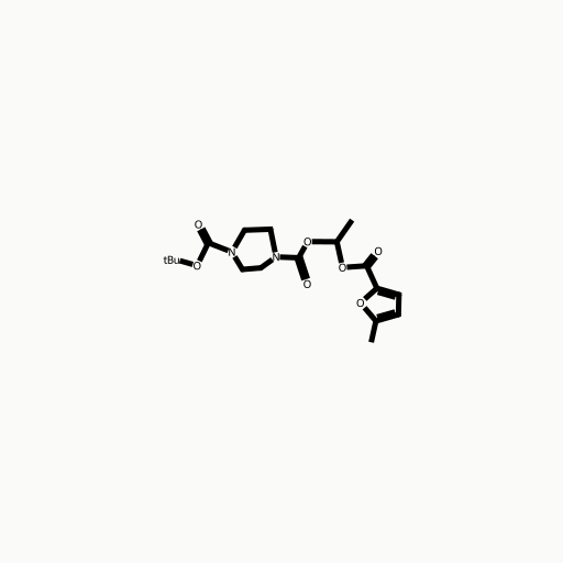 Cc1ccc(C(=O)OC(C)OC(=O)N2CCN(C(=O)OC(C)(C)C)CC2)o1